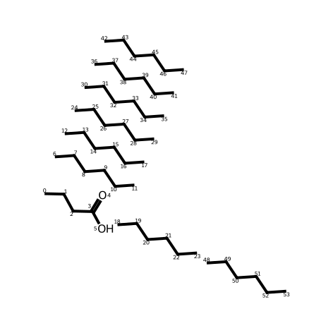 CCCC(=O)O.CCCCCC.CCCCCC.CCCCCC.CCCCCC.CCCCCC.CCCCCC.CCCCCC.CCCCCC